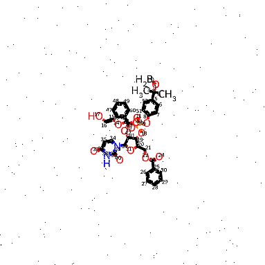 BOC(C)(C)c1ccc(OP(=O)(OCO/C=C/O)OC2C(COC(=O)c3ccccc3)OC(n3ccc(=O)[nH]c3=O)C2OC(=O)c2ccccc2)cc1